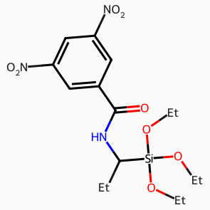 CCO[Si](OCC)(OCC)C(CC)NC(=O)c1cc([N+](=O)[O-])cc([N+](=O)[O-])c1